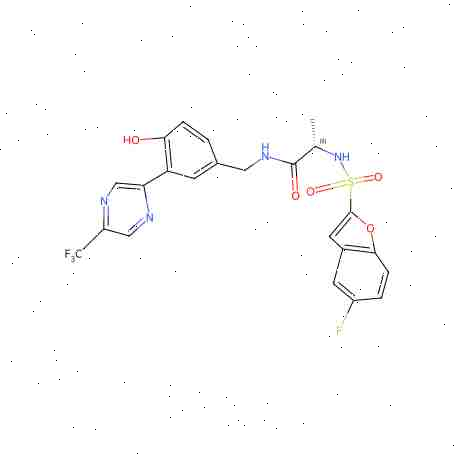 C[C@H](NS(=O)(=O)c1cc2cc(F)ccc2o1)C(=O)NCc1ccc(O)c(-c2cnc(C(F)(F)F)cn2)c1